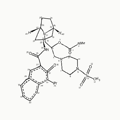 CNC(=O)OC(CN1CCN(S(C)(=O)=O)CC1)CN1[C@@H]2CC[C@H]1C[C@H](NC(=O)c1cc3ccccc3n(C(C)C)c1=O)C2